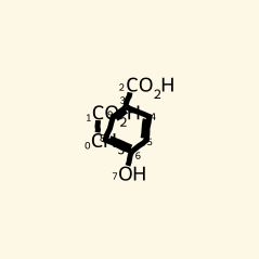 CC(=O)O.O=C(O)c1ccc(O)cc1